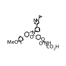 COc1ccc([C@H]2CC[C@H](CN(c3cccc(-c4cnn(C5CC5)c4)c3)C(=O)[C@H]3CC[C@H](OC(=O)NCC(=O)O)CC3)CC2)cc1C